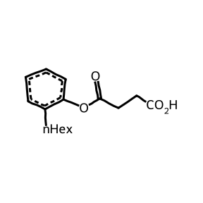 CCCCCCc1ccccc1OC(=O)CCC(=O)O